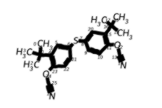 CC(C)(C)c1cc(Sc2ccc(OC#N)c(C(C)(C)C)c2)ccc1OC#N